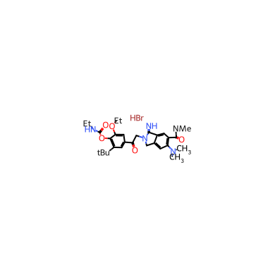 Br.CCNC(=O)Oc1c(OCC)cc(C(=O)CN2Cc3cc(N(C)C)c(C(=O)NC)cc3C2=N)cc1C(C)(C)C